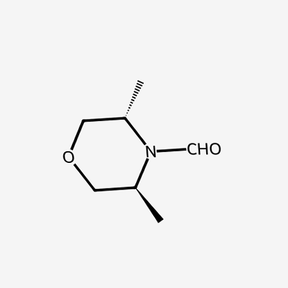 C[C@H]1COC[C@H](C)N1C=O